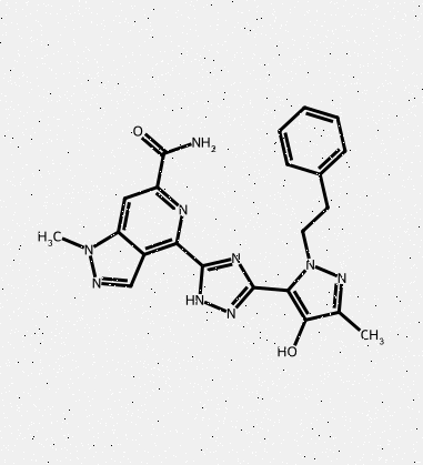 Cc1nn(CCc2ccccc2)c(-c2n[nH]c(-c3nc(C(N)=O)cc4c3cnn4C)n2)c1O